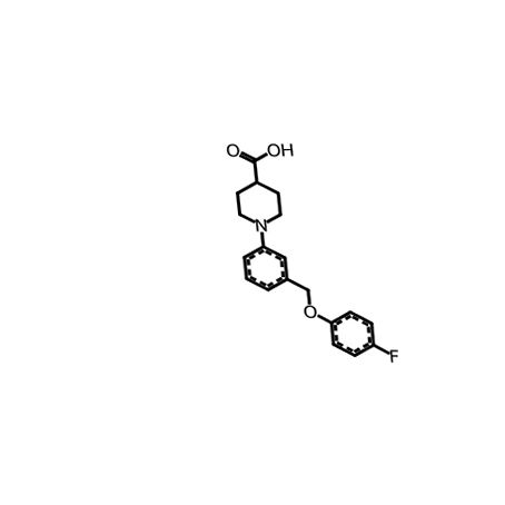 O=C(O)C1CCN(c2cccc(COc3ccc(F)cc3)c2)CC1